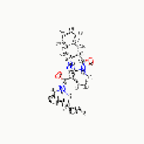 CCCN(CC)C(=O)c1cccn2c(=O)c3cc4ccccc4cc3nc12